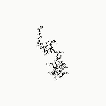 CN1CCN(C)C1=NP(=O)(OCC1OCC[C@H]1OP(=O)(N=C1N(C)CCN1C)OCC1OCC[C@H]1OP(=O)(N=C1N(C)CCN1C)OC(C)(C)C)O[C@@H]1CCOC1COP(=O)(O)OCCCCCCO